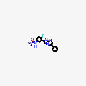 CN(C)C(=O)Nc1ccc(F)c(-c2cn3cc(-c4ccccc4)cnc3n2)c1